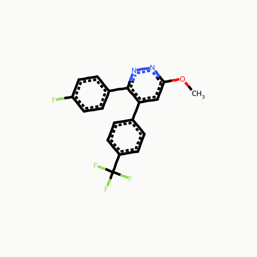 COc1cc(-c2ccc(C(F)(F)F)cc2)c(-c2ccc(F)cc2)nn1